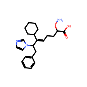 NOC(CC/C=C(\C1CCCCC1)C(Cc1ccccc1)n1ccnc1)C(=O)O